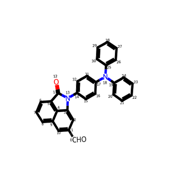 O=Cc1cc2c3c(cccc3c1)C(=O)N2c1ccc(N(c2ccccc2)c2ccccc2)cc1